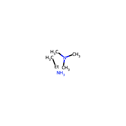 CCC.CN(C)C.N